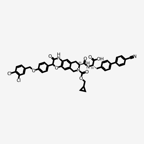 N#Cc1ccc(-c2ccc(C[C@H](NC(=O)[C@@H]3Cc4cc5c(cc4CN3C(=O)OCC3CC3)OC(c3ccc(OCc4ccc(Cl)c(Cl)c4)cc3)C(=O)N5)C(=O)O)cc2)cc1